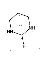 FC1NCCCN1